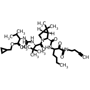 C#CCCNC(=O)C(=O)C(CCCC)NC(=O)[C@@H]1[C@@H]2[C@H](CN1C(=O)[C@@H](NC(=O)N[C@H](C(=O)OCC1CC1)C(C)C)C(C)(C)C)C2(C)C